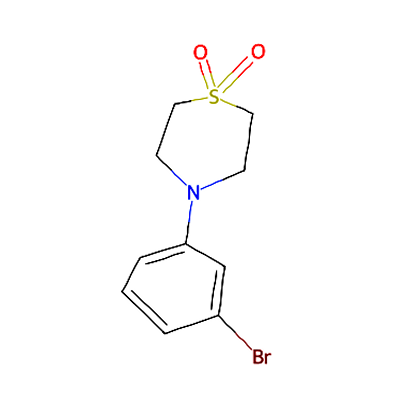 O=S1(=O)CCN(c2cccc(Br)c2)CC1